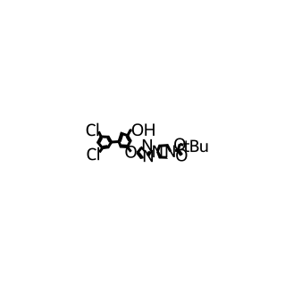 CC(C)(C)OC(=O)N1CCN(c2ncc(Oc3cc(CO)cc(-c4cc(Cl)cc(Cl)c4)c3)cn2)CC1